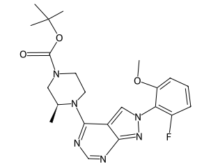 COc1cccc(F)c1-n1cc2c(N3CCN(C(=O)OC(C)(C)C)C[C@@H]3C)ncnc2n1